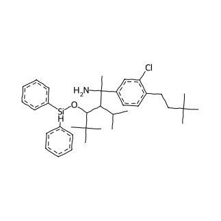 CC(C)C(C(O[SiH](c1ccccc1)c1ccccc1)C(C)(C)C)C(C)(N)c1ccc(CCC(C)(C)C)c(Cl)c1